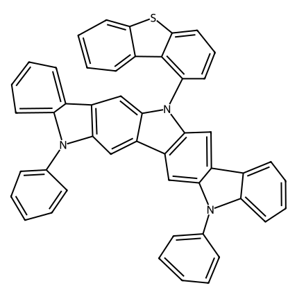 c1ccc(-n2c3ccccc3c3cc4c(cc32)c2cc3c(cc2n4-c2cccc4sc5ccccc5c24)c2ccccc2n3-c2ccccc2)cc1